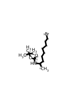 CC(CCCCCCCBr)NC(=O)OC(C)(C)C